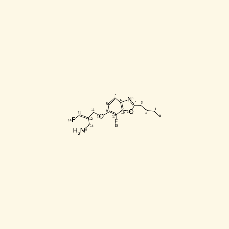 CCCCc1nc2ccc(OC/C(=C/F)CN)c(F)c2o1